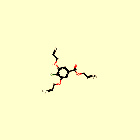 C=CCOC(=O)c1cc(OCC=C)c(Br)c(OCC=C)c1